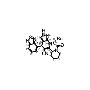 CC(C)(C)OC(=O)N1CCCCC1C1=C(C#N)C(c2cccc3nonc23)c2c[nH]nc2N1